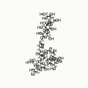 CCC[C@@H](O)CC(=O)NC1[C@@H](OCCNC(=O)CCc2cn(CCO[C@@H]3OC(CO)[C@@H](O[C@@H]4OC(CO)[C@H](O)C(O[C@]5(C(=O)O)C[C@@H](O)CC([C@H](O)[C@H](O)CO)O5)[C@@H]4O)C(O)[C@@H]3O)nn2)OC(CO[C@@H]2OC(CO)[C@@H](OP(=O)(O)O)C(OC(=O)C[C@@H](CC)OC(=O)CC)[C@@H]2NC(=O)C[C@@H](CC)OC(=O)CC)[C@@H](O)[C@@H]1OC(=O)C[C@H](O)CC